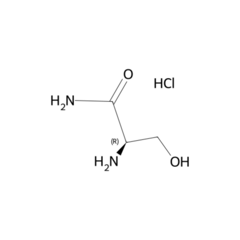 Cl.NC(=O)[C@H](N)CO